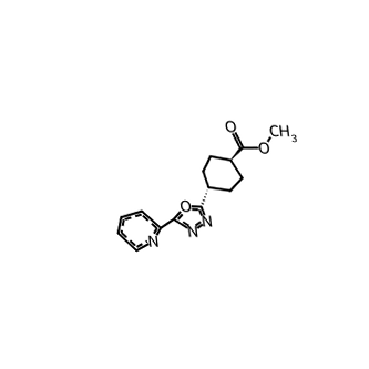 COC(=O)[C@H]1CC[C@H](c2nnc(-c3ccccn3)o2)CC1